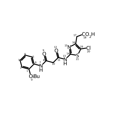 CC(C)COc1ccccc1NC(=O)CC(=O)Nc1nc(CC(=O)O)c(Cl)s1